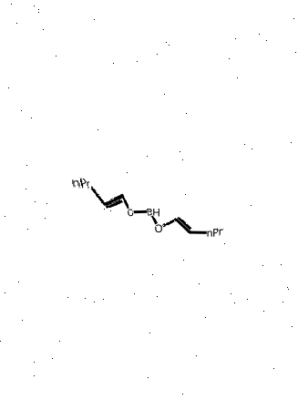 CCCC=COBOC=CCCC